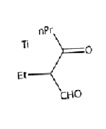 CCCC(=O)C(C=O)CC.[Ti]